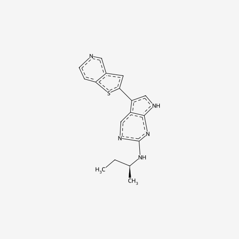 CC[C@H](C)Nc1ncc2c(-c3cc4cnccc4s3)c[nH]c2n1